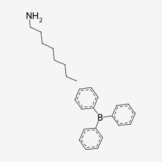 CCCCCCCCN.c1ccc(B(c2ccccc2)c2ccccc2)cc1